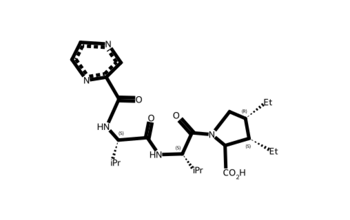 CC[C@H]1CN(C(=O)[C@@H](NC(=O)[C@@H](NC(=O)c2cnccn2)C(C)C)C(C)C)C(C(=O)O)[C@H]1CC